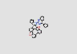 c1ccc(-c2nc(-n3c4ccccc4c4c5ccc6oc7cccc8c7c6c5c5c(oc6cccc-8c65)c43)nc3ccccc23)cc1